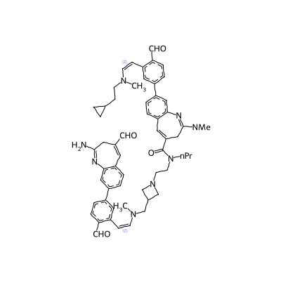 CCCN(CCN1CC(CN(C)/C=C\c2cc(-c3ccc4c(c3)N=C(N)CC(C=O)=C4)ccc2C=O)C1)C(=O)C1=Cc2ccc(-c3ccc(C=O)c(/C=C\N(C)CCC4CC4)c3)cc2N=C(NC)C1